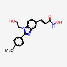 COc1ccc(-c2nc3cc(C=CC(=O)NO)ccc3n2CCO)cc1